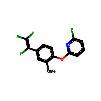 COc1cc(C(F)=C(F)F)ccc1Oc1cccc(F)n1